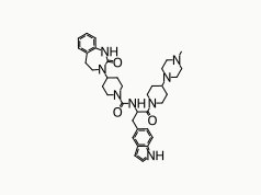 CN1CCN(C2CCN(C(=O)C(Cc3ccc4[nH]ccc4c3)NC(=O)N3CCC(N4CCc5ccccc5NC4=O)CC3)CC2)CC1